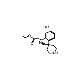 CCOC(=O)CCc1ccccc1C1(C#N)CCNCC1.Cl